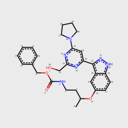 CC(CCNC(=O)OCc1ccccc1)Oc1ccc2[nH]nc(-c3cc(N4CCCC4)nc(CO)n3)c2c1